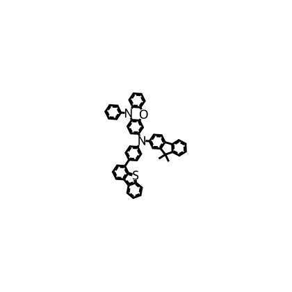 CC1(C)c2ccccc2-c2ccc(N(c3ccc(-c4cccc5c4sc4ccccc45)cc3)c3ccc4c(c3)Oc3ccccc3N4c3ccccc3)cc21